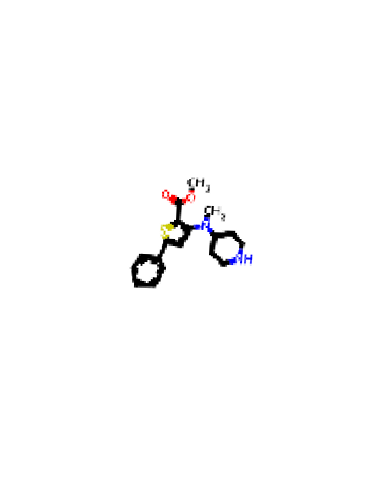 COC(=O)c1sc(-c2ccccc2)cc1N(C)C1CCNCC1